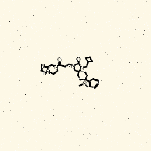 CN(C)[C@]1(c2ccccc2)CC[C@]2(CC1)CN(CCC(=O)N1CCn3ncnc3C1)C(=O)N2CC1CCC1